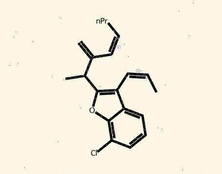 C=C(/C=C\CCC)C(C)c1oc2c(Cl)cccc2c1/C=C\C